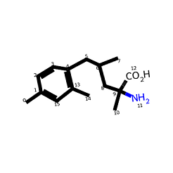 Cc1ccc(CC(C)CC(C)(N)C(=O)O)c(C)c1